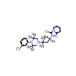 [2H]C([2H])(CC([2H])([2H])n1nc2ccccn2c1=O)N1CC([2H])([2H])N(c2cccc(Cl)c2)C([2H])([2H])C1